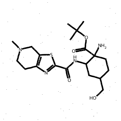 CN1CCc2nc(C(=O)NC3CC(CO)CCC3(N)C(=O)OC(C)(C)C)sc2C1